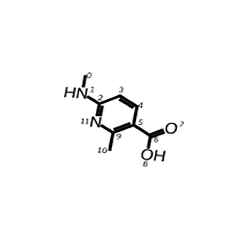 CNc1ccc(C(=O)O)c(C)n1